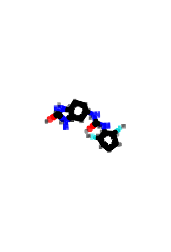 O=C(Nc1ccc2[nH]c(=O)[nH]c2c1)Nc1c(F)cccc1F